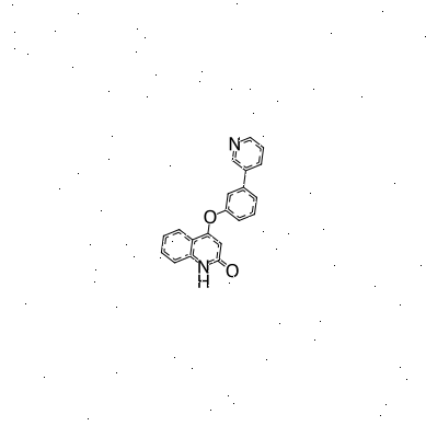 O=c1cc(Oc2cccc(-c3cccnc3)c2)c2ccccc2[nH]1